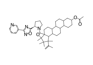 C=C(C)C1(C)C2C3CCC4C5CCC(OC(C)=O)CC5CCC4C3CCC2(C(=O)N2CCC[C@@H]2c2nc(-c3cccnc3)no2)C(C)(C)C1(C)C